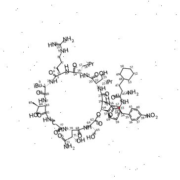 CC[C@H](C)[C@@H]1NC(=O)[C@@H](CCCNC(=N)N)NC(=O)[C@H](CC(C)C)NC(=O)[C@H]([C@H](O)C(C)C)NC(=O)[C@@H](NC(=O)[C@H](Cc2ccc([N+](=O)[O-])cc2)NC(=O)[C@@H](N)CC2CCCCC2)[C@@H](c2ccccc2)OC(=O)[C@H](CO)NC(=O)[C@H]([C@H](O)C(N)=O)NC(=O)CNC(=O)[C@H]([C@H](C)O)NC1=O